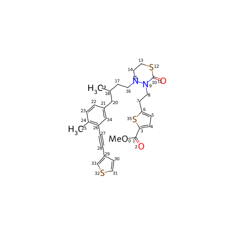 COC(=O)c1ccc(CCN2C(=O)SCCN2CCC(C)Cc2ccc(C)c(C#Cc3ccsc3)c2)s1